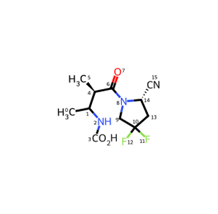 CC(NC(=O)O)[C@@H](C)C(=O)N1CC(F)(F)C[C@H]1C#N